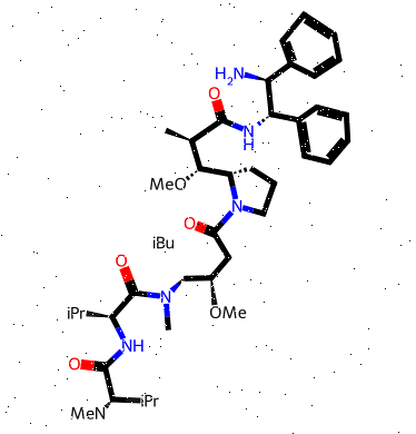 CC[C@H](C)[C@@H]([C@@H](CC(=O)N1CCC[C@H]1[C@H](OC)[C@@H](C)C(=O)N[C@@H](c1ccccc1)[C@@H](N)c1ccccc1)OC)N(C)C(=O)[C@@H](NC(=O)[C@@H](NC)C(C)C)C(C)C